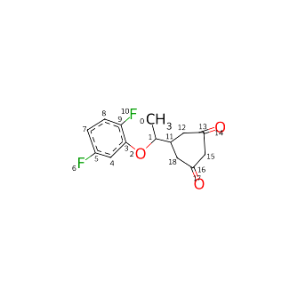 CC(Oc1cc(F)ccc1F)C1CC(=O)CC(=O)C1